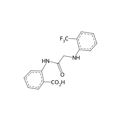 O=C(CNc1ccccc1C(F)(F)F)Nc1ccccc1C(=O)O